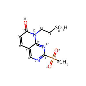 CS(=O)(=O)c1ncc2ccc(=O)n(CCS(=O)(=O)O)c2n1